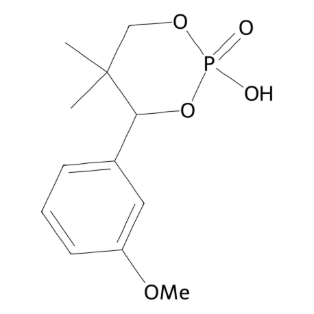 COc1cccc(C2OP(=O)(O)OCC2(C)C)c1